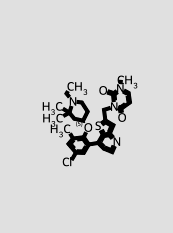 CCN1CC[C@H](Oc2c(C)cc(Cl)cc2-c2ccnc3cc(Cn4c(=O)ccn(C)c4=O)sc23)CC1(C)C